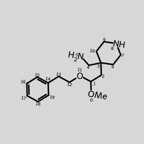 COC(CC1(CN)CCNCC1)OCCc1ccccc1